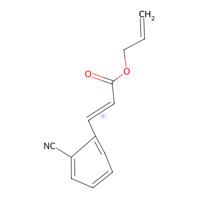 C=CCOC(=O)/C=C/c1ccccc1C#N